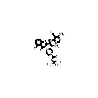 CCC(Nc1ncnc(N)c1C#N)c1nc2cccc(Cl)c2c(=O)n1N1CCN(C(=O)OC(C)(C)C)CC1